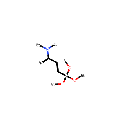 [2H]C(CC[Si](OCC)(OCC)OCC)N(CC)CC